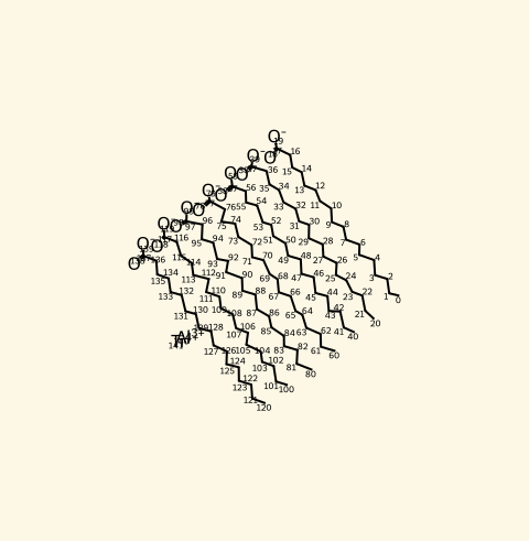 CCCCCCCCCCCCCCCCCC(=O)[O-].CCCCCCCCCCCCCCCCCC(=O)[O-].CCCCCCCCCCCCCCCCCC(=O)[O-].CCCCCCCCCCCCCCCCCC(=O)[O-].CCCCCCCCCCCCCCCCCC(=O)[O-].CCCCCCCCCCCCCCCCCC(=O)[O-].CCCCCCCCCCCCCCCCCC(=O)[O-].[Al+3].[Ti+4]